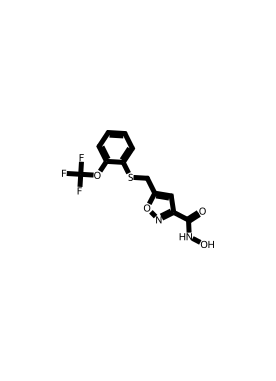 O=C(NO)c1cc(CSc2ccccc2OC(F)(F)F)on1